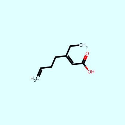 C=CCCC(=CC(=O)O)CC